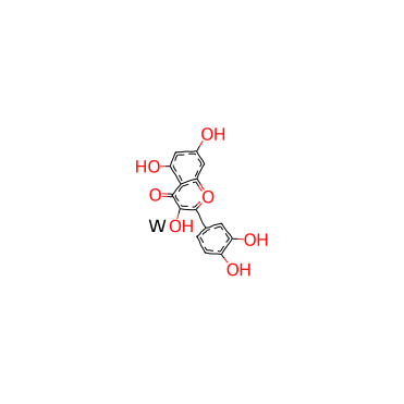 O=c1c(O)c(-c2ccc(O)c(O)c2)oc2cc(O)cc(O)c12.[W]